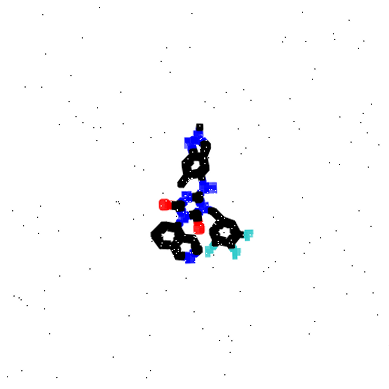 Cc1cc2nn(C)cc2cc1Nc1nc(=O)n(-c2cccc3cnccc23)c(=O)n1Cc1cc(F)c(F)c(F)c1